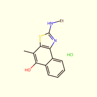 CCNc1nc2c(s1)c(C)c(O)c1ccccc12.Cl